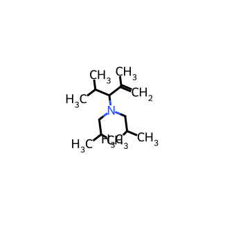 C=C(C)C(C(C)C)N(CC(C)C)CC(C)C